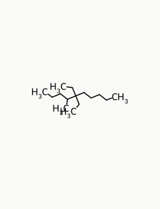 CCCCCC(CC)(CC)C(C)CCC